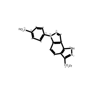 CCOC(=O)c1n[nH]c2c1ccc1c2cnn1-c1ccc(C(=O)O)cc1